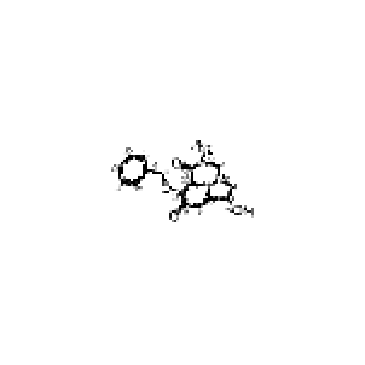 CCN1CN2CC(O)c3cc(=O)c(OCc4ccccc4)c(n32)C1=O